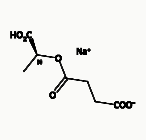 C[C@H](OC(=O)CCC(=O)[O-])C(=O)O.[Na+]